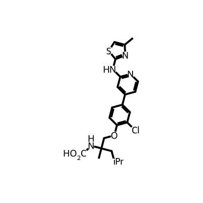 Cc1csc(Nc2cc(-c3ccc(OCC(C)(CC(C)C)NC(=O)O)c(Cl)c3)ccn2)n1